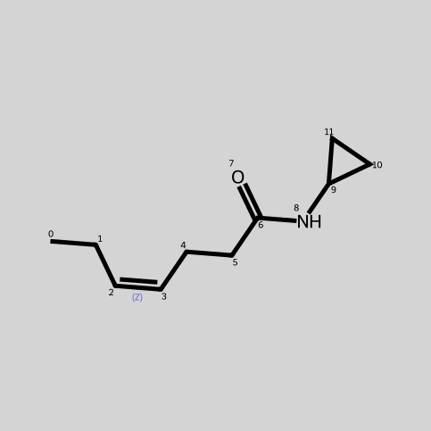 CC/C=C\CCC(=O)NC1CC1